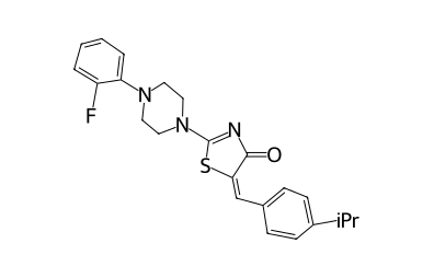 CC(C)c1ccc(C=C2SC(N3CCN(c4ccccc4F)CC3)=NC2=O)cc1